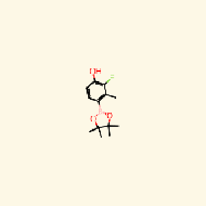 Cc1c(B2OC(C)(C)C(C)(C)O2)ccc(O)c1F